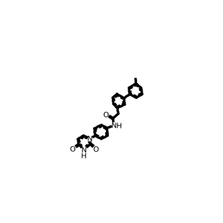 Cc1cccc(-c2cccc(CC(=O)Nc3ccc(-n4ccc(=O)[nH]c4=O)cc3)c2)c1